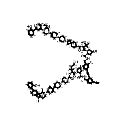 C#Cc1ccc([C@H](C)NC(=O)[C@@H]2C[C@@H](O)CN2C(=O)[C@@H](NC(=O)N2CCC(N3CCC(c4cnc(N5CCc6[nH]c7nnc(-c8ccccc8O)cc7c6[C@H]5C)nc4)CC3)CC2)C(C)(C)CCO)c(C#Cc2ccc(CNC(=O)[C@@H]3C[C@@H](O)CN3C(=O)[C@@H](NC(=O)[C@H]3CCC4(CC3)C[C@H](N3CCC(N5CCC(N6CCN7c8cc(-c9ccccc9O)nnc8NC[C@H]7C6)CC5)CC3)C4)C(C)(C)C)c(F)c2)c1